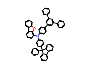 c1ccc(-c2cc(-c3ccccc3)cc(-c3ccc(N(c4ccc(C5(c6ccccc6)c6ccccc6-c6ccccc65)cc4)c4cccc5c4oc4ccccc45)cc3)c2)cc1